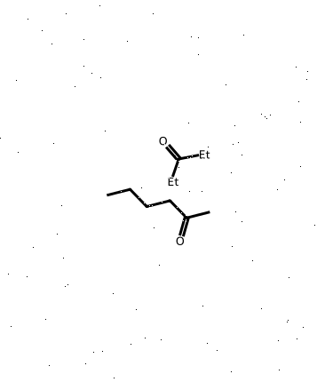 CCC(=O)CC.CCCCC(C)=O